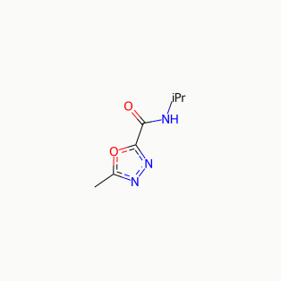 Cc1nnc(C(=O)NC(C)C)o1